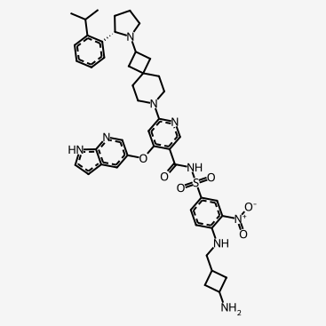 CC(C)c1ccccc1[C@@H]1CCCN1C1CC2(CCN(c3cc(Oc4cnc5[nH]ccc5c4)c(C(=O)NS(=O)(=O)c4ccc(NCC5CC(N)C5)c([N+](=O)[O-])c4)cn3)CC2)C1